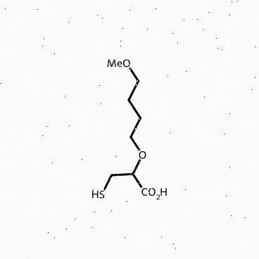 COCCCCOC(CS)C(=O)O